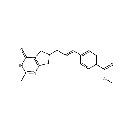 COC(=O)c1ccc(/C=C/CC2Cc3nc(C)[nH]c(=O)c3C2)cc1